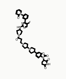 O=C1CCC(n2c(=O)oc3cc(C4CCN(C5CCN(CCC(=O)N6CCC(Nc7ncc(F)c(-c8cccc(-n9ccccc9=O)c8)n7)CC6)CC5)CC4)ccc32)C(=O)N1